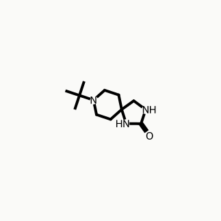 CC(C)(C)N1CCC2(CC1)CNC(=O)N2